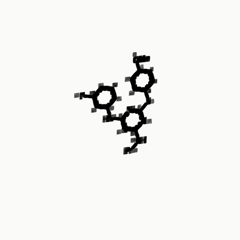 COc1ccc(Sc2nc(Nc3cccc(F)c3)nc(NC(C)C)n2)cc1